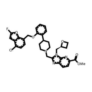 COC(=O)c1ccc2nc(CN3CCC(c4ccccc4OCc4ccc(Cl)c5cc(F)oc45)CC3)n(C[C@@H]3CCO3)c2n1